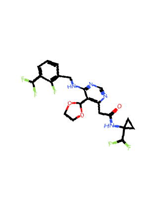 O=C(Cc1ncnc(NCc2cccc(C(F)F)c2F)c1C1OCCO1)NC1(C(F)F)CC1